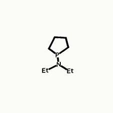 CCN(CC)P1CCCC1